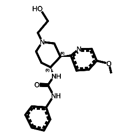 COc1ccc([C@@H]2CN(CCO)CC[C@H]2NC(=O)Nc2ccccc2)nc1